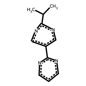 CC(C)c1ncc(-c2ncccn2)cn1